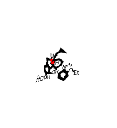 CCOc1ccccc1N(C(C)=O)[C@H]1CC[C@@]2(O)[C@H]3Cc4ccc(O)c5c4[C@@]2(CCN3CC2CC2)[C@H]1O5.Cl